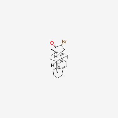 C[C@]12CCCCC1=CC[C@@H]1[C@@H]2CC[C@]2(C)C(=O)C(Br)C[C@@H]12